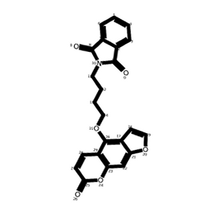 O=C1c2ccccc2C(=O)N1CCCCOc1c2ccoc2cc2oc(=O)ccc12